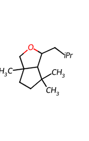 CC(C)CC1OCC2(C)CCC(C)(C)C12